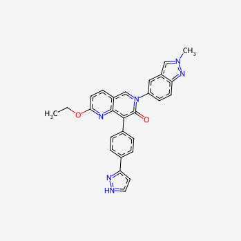 CCOc1ccc2cn(-c3ccc4nn(C)cc4c3)c(=O)c(-c3ccc(-c4cc[nH]n4)cc3)c2n1